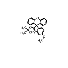 COc1ccc(C2(C(=O)OC(C)(C)C)c3ccccc3Oc3ccccc32)cc1